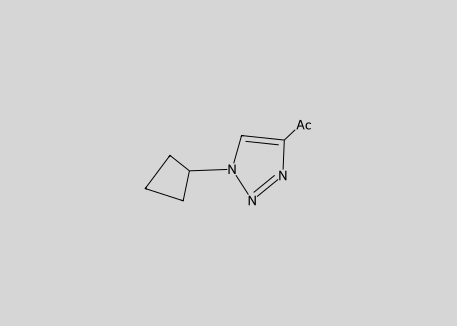 CC(=O)c1cn(C2CCC2)nn1